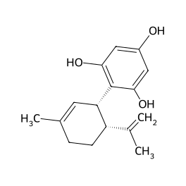 C=C(C)[C@@H]1CCC(C)=C[C@@H]1c1c(O)cc(O)cc1O